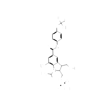 CCC1c2cc(C(=O)Nc3ccc(OC(F)(F)Cl)cc3)cc(Br)c2N(C(C)C)C1COS(C)(=O)=O